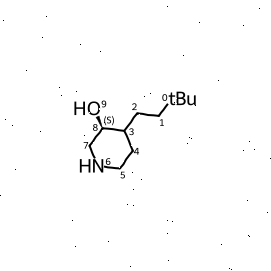 CC(C)(C)CCC1CCNC[C@H]1O